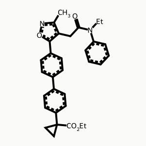 CCOC(=O)C1(c2ccc(-c3ccc(-c4onc(C)c4CC(=O)N(CC)c4ccccc4)cc3)cc2)CC1